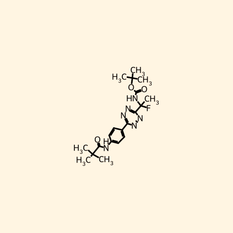 CC(C)(C)OC(=O)NC(C)(F)c1nnc(-c2ccc(NC(=O)C(C)(C)C)cc2)nn1